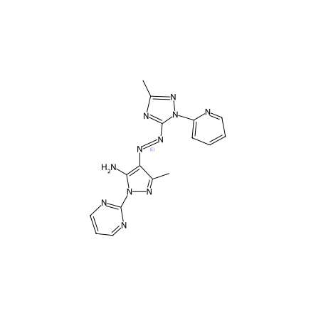 Cc1nc(/N=N/c2c(C)nn(-c3ncccn3)c2N)n(-c2ccccn2)n1